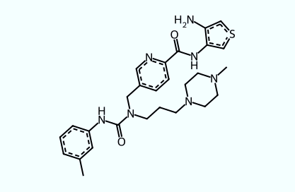 Cc1cccc(NC(=O)N(CCCN2CCN(C)CC2)Cc2ccc(C(=O)Nc3cscc3N)nc2)c1